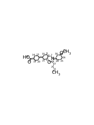 CCCCC(=O)N(Cc1ccc(-c2ccc(C(=O)O)cc2)cc1)c1cccc(OC)c1